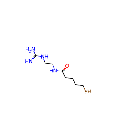 N=C(N)NCCNC(=O)CCCCS